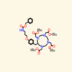 CC(C)(C)OC(=O)CN1CCN(CC(=O)OC(C)(C)C)CCN(CC(=O)OC(C)(C)C)CC(Cc2ccc(OCCCNC(=O)OCc3ccccc3)cc2)CN(CC(=O)OC(C)(C)C)CC1